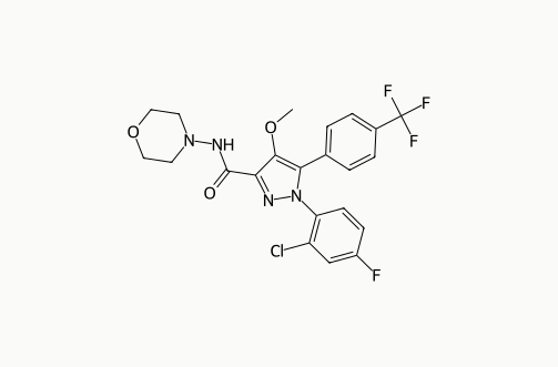 COc1c(C(=O)NN2CCOCC2)nn(-c2ccc(F)cc2Cl)c1-c1ccc(C(F)(F)F)cc1